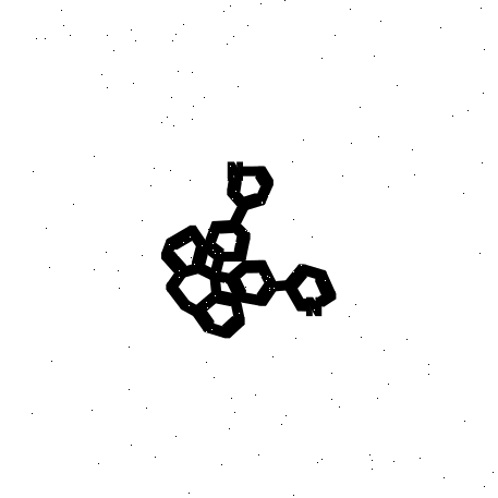 c1cncc(-c2ccc(C3(c4ccc(-c5cccnc5)cc4)c4ccccc4CCc4ccccc43)cc2)c1